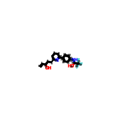 C=CC(O)CC[C@H]1CCCC(C2=CC[C@H](NC(O)C(F)(F)F)C=C2)=N1